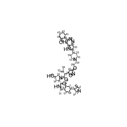 Cc1ncsc1-c1ccc([C@H](C)NC(=O)[C@@H]2C[C@@H](O)CN2C(=O)[C@@H](c2cc(OCCN3CCC(c4cc5nnc(-c6ccccc6O)cc5[nH]4)CC3)no2)C(C)C)cc1